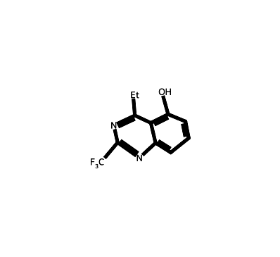 CCc1nc(C(F)(F)F)nc2cccc(O)c12